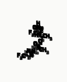 CC(COCC(=O)N(C)C1CN(c2ncc(C(F)(F)F)cn2)C1)Nc1cn[nH]c(=O)c1C(F)(F)F